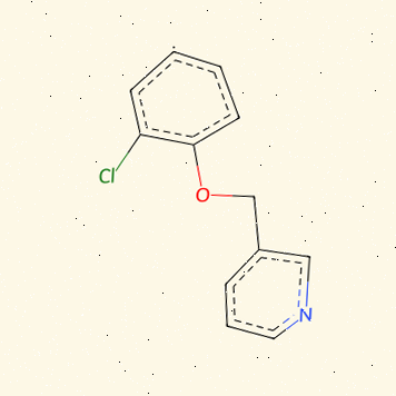 Clc1c[c]ccc1OCc1cccnc1